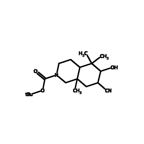 CC(C)(C)OC(=O)N1CCC2C(C)(CC(C#N)C(O)C2(C)C)C1